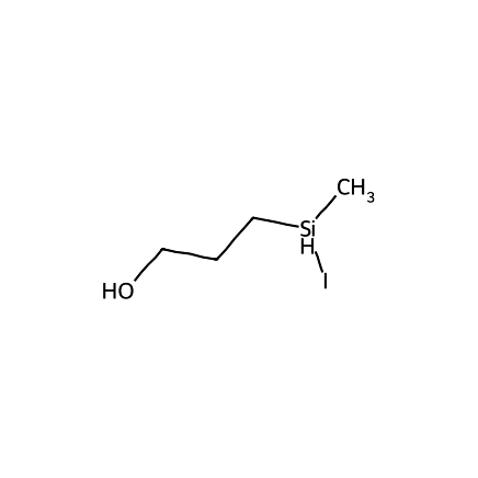 C[SiH](I)CCCO